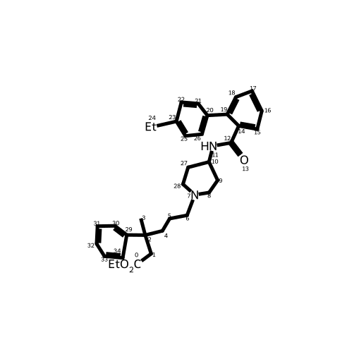 CCOC(=O)CC(C)(CCCN1CCC(NC(=O)c2ccccc2-c2ccc(CC)cc2)CC1)c1ccccc1